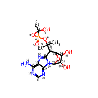 CCC1(O)OP1(=O)O[C@@](C)(CC)C1c2nc3c(N)ncnc3n2C2OC1C(O)[C@H]2O